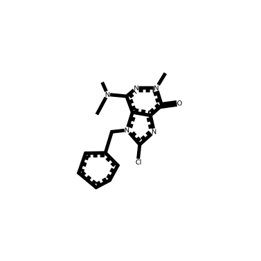 CN(C)c1nn(C)c(=O)c2nc(Cl)n(Cc3ccccc3)c12